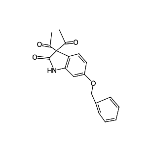 CC(=O)C1(C(C)=O)C(=O)Nc2cc(OCc3ccccc3)ccc21